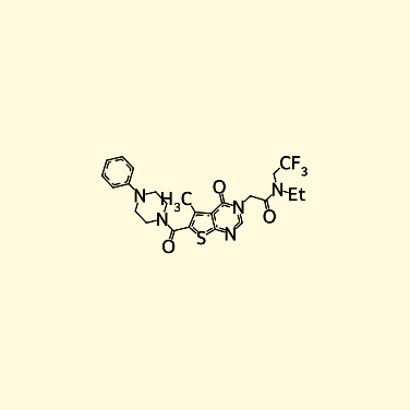 CCN(CC(F)(F)F)C(=O)Cn1cnc2sc(C(=O)N3CCN(c4ccccc4)CC3)c(C)c2c1=O